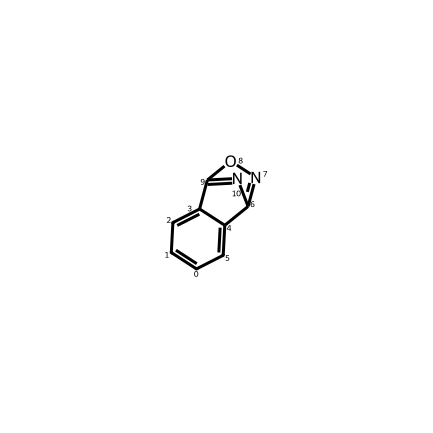 c1ccc2c(c1)-c1noc-2n1